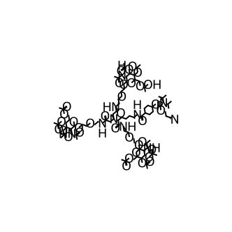 CC(=O)NC1C(OCCOCCNC(=O)CN(CC(=O)NCCOCCOC2OC(COC(C)O)C(OC(C)=O)C(OC(C)=O)C2NC(C)=O)C(CCCCNC(=O)C2CCC(OP(OCCC#N)N(C(C)C)C(C)C)CC2)C(=O)NCCOCCOC2OC(COC(C)=O)C(OC(C)=O)C(OC(C)=O)C2NC(C)=O)OC(COC(C)=O)C(OC(C)=O)C1OC(C)=O